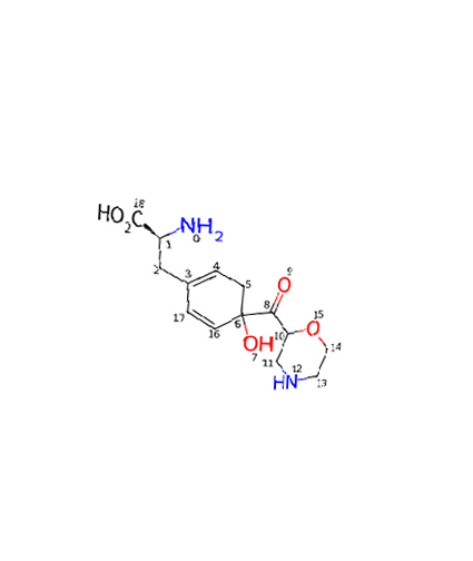 N[C@@H](CC1=CCC(O)(C(=O)C2CNCCO2)C=C1)C(=O)O